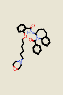 O=C(NC1CCCc2ccccc2N1C(=O)c1ccccc1)c1ccccc1OCCCCCCN1CCOCC1